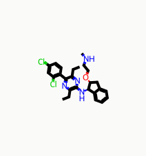 CCc1nc(-c2ccc(Cl)cc2Cl)c(CC)nc1N[C@@H]1c2ccccc2C[C@@H]1OCCNC